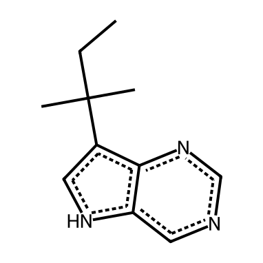 CCC(C)(C)c1c[nH]c2cncnc12